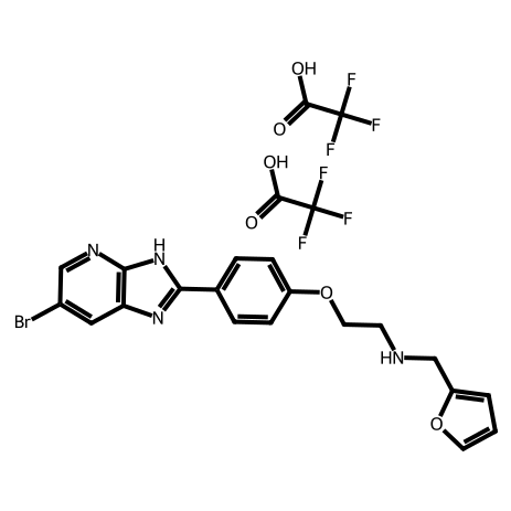 Brc1cnc2[nH]c(-c3ccc(OCCNCc4ccco4)cc3)nc2c1.O=C(O)C(F)(F)F.O=C(O)C(F)(F)F